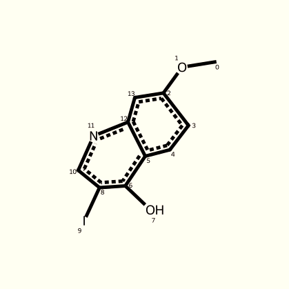 COc1ccc2c(O)c(I)cnc2c1